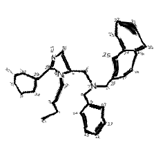 CCCCn1c(CN(Cc2ccccc2)Cc2ccc3ccccc3c2)cnc1C1CCCCC1